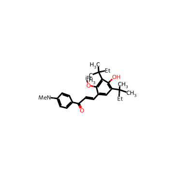 CCC(C)(C)c1cc(C=CC(=O)c2ccc(NC)cc2)c(OC(C)C)c(C(C)(C)CC)c1O